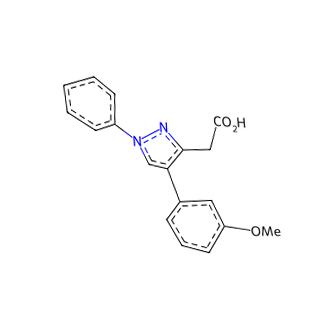 COc1cccc(-c2cn(-c3ccccc3)nc2CC(=O)O)c1